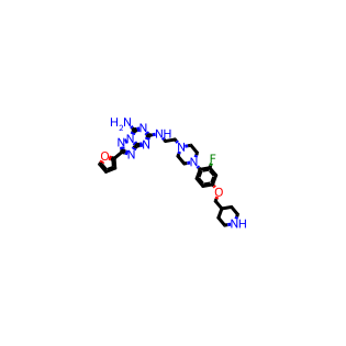 Nc1nc(NCCN2CCN(c3ccc(OCC4CCNCC4)cc3F)CC2)nc2nc(-c3ccco3)nn12